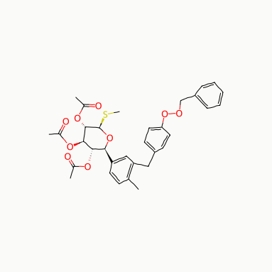 CS[C@H]1O[C@@H](c2ccc(C)c(Cc3ccc(OOCc4ccccc4)cc3)c2)[C@H](OC(C)=O)[C@@H](OC(C)=O)[C@@H]1OC(C)=O